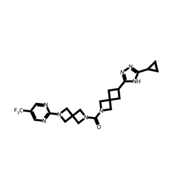 O=C(N1CC2(CC(c3nnc(C4CC4)[nH]3)C2)C1)N1CC2(C1)CN(c1ncc(C(F)(F)F)cn1)C2